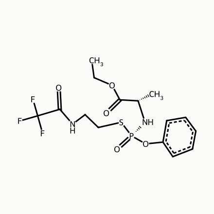 CCOC(=O)[C@H](C)N[P@@](=O)(Oc1ccccc1)SCCNC(=O)C(F)(F)F